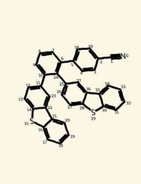 N#Cc1ccc(-c2cccc(-c3ccc4sc5ccccc5c4c3)c2-c2ccc3sc4ccccc4c3c2)cc1